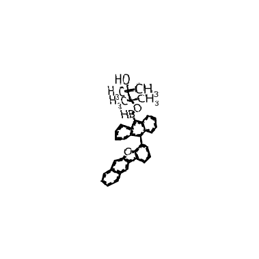 CC(C)(O)C(C)(C)OBc1c2ccccc2c(-c2cccc3c2oc2cc4ccccc4cc23)c2ccccc12